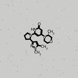 Cc1cc(C2CCCN2c2cc(N3CCOC[C@H]3C)cc(=O)[nH]2)nn1C